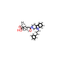 CC(C)(CCCC(=O)N1CCc2c(n(CCCc3ccccc3)c3ccccc23)C1)C(=O)O